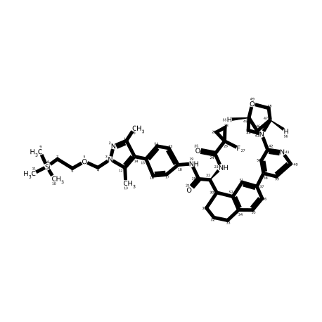 Cc1nn(COCC[Si](C)(C)C)c(C)c1-c1ccc(NC(=O)[C@@H](NC(=O)C2(F)CC2)C2CCCc3ccc(-c4ccnc(N5C[C@H]6C[C@@H]5CO6)c4)cc32)cc1